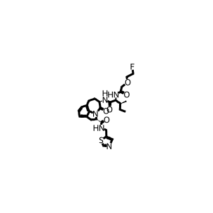 CC[C@H](C)[C@H](NC(=O)COCCF)C(=O)N[C@H]1CCc2cccc3c2N(C1=O)[C@H](C(=O)NCc1cncs1)C3